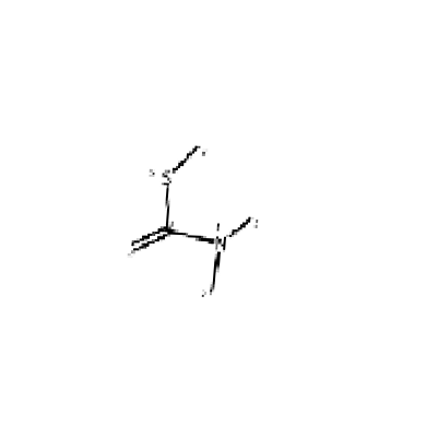 C=C(SC)N(C)C